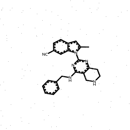 Cc1cc2ccc(C#N)cc2n1-c1nc2c(c(NCc3ccccc3)n1)CNCC2